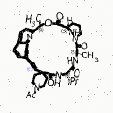 CC(=O)N1CCC2(/C=C/c3ccc4ccc(nc4c3)[C@@H](C)OC(=O)[C@@H]3CCCN(N3)C(=O)[C@H](C)NC(=O)[C@H](C(C)C)NC2=O)CC1